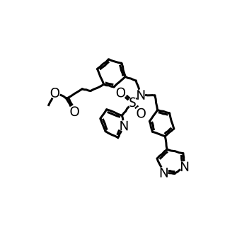 COC(=O)CCc1cccc(CN(Cc2ccc(-c3cncnc3)cc2)S(=O)(=O)c2ccccn2)c1